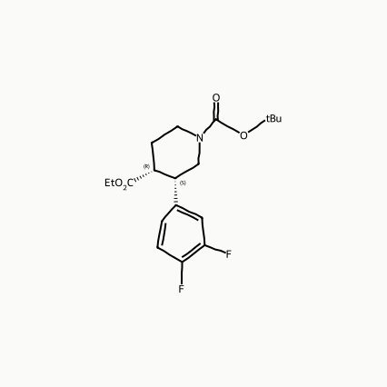 CCOC(=O)[C@@H]1CCN(C(=O)OC(C)(C)C)C[C@@H]1c1ccc(F)c(F)c1